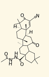 CC(=O)NNC(=O)[C@]12CCC(C)(C)CC1C1C(=O)C[C@@H]3[C@@]4(C)C=C(C#N)C(=O)C(C)(C)[C@@H]4CC[C@@]3(C)[C@]1(C)CC2